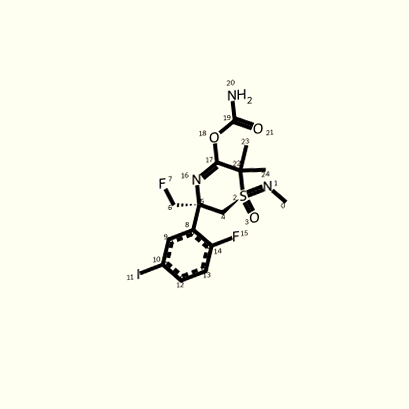 CN=[S@@]1(=O)C[C@@](CF)(c2cc(I)ccc2F)N=C(OC(N)=O)C1(C)C